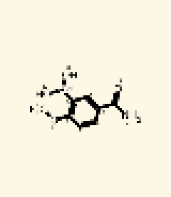 NC(=O)c1ccc(OC(F)(F)F)c(B(O)O)c1